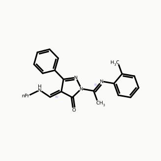 CCCN/C=C1/C(=O)N(/C(C)=N/c2ccccc2C)N=C1c1ccccc1